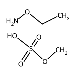 CCON.COS(=O)(=O)O